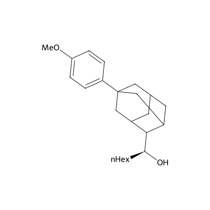 CCCCCC[C@H](O)C1C2CC3CC1CC(c1ccc(OC)cc1)(C3)C2